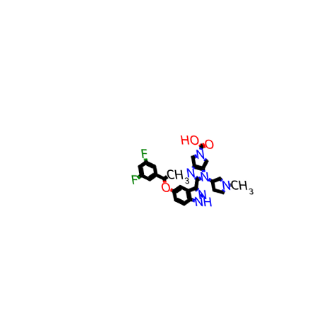 CC(Oc1ccc2[nH]nc(-c3nc4c(n3C3CCN(C)C3)CN(C(=O)O)C4)c2c1)c1cc(F)cc(F)c1